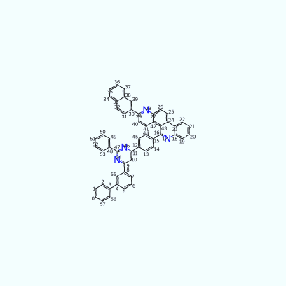 c1ccc(-c2cccc(-c3cc(-c4ccc(-c5nc6ccccc6c6ccc7nc(-c8ccc9ccccc9c8)ccc7c56)cc4)nc(-c4ccccc4)n3)c2)cc1